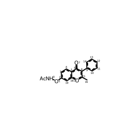 CC(=O)NOc1ccc2c(=O)c(-c3ccccc3)c(C)oc2c1